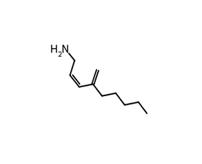 C=C(/C=C\CN)CCCCC